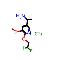 COc1cc(C(C)N)cnc1OCC(F)F.Cl